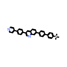 C[Si](C)(C)c1ccc(-c2ccc(-c3ccc4cc(-c5ccc(-c6ccncc6)cc5)cnc4c3)cc2)cc1